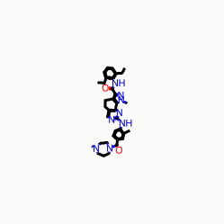 CCc1cccc(CC)c1NC(=O)c1nn(C)c2c1CCc1cnc(Nc3ccc(C(=O)N4CCCN(C)CC4)cc3C)nc1-2